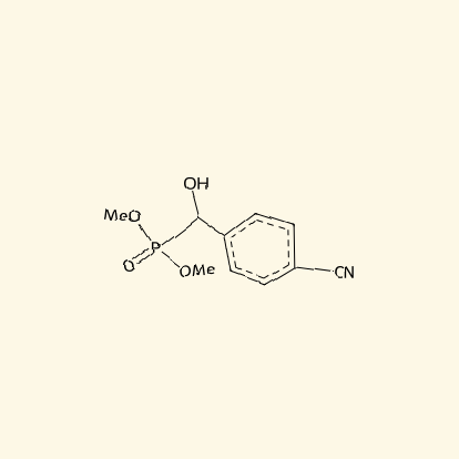 COP(=O)(OC)C(O)c1ccc(C#N)cc1